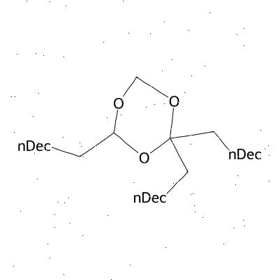 CCCCCCCCCCCC1OCOC(CCCCCCCCCCC)(CCCCCCCCCCC)O1